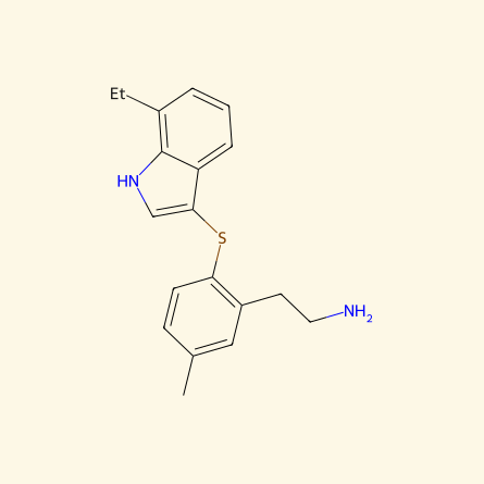 CCc1cccc2c(Sc3ccc(C)cc3CCN)c[nH]c12